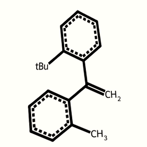 C=C(c1ccccc1C)c1ccccc1C(C)(C)C